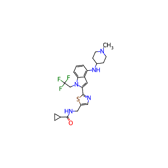 CN1CCC(Nc2cccc3c2cc(-c2ncc(CNC(=O)C4CC4)s2)n3CC(F)(F)F)CC1